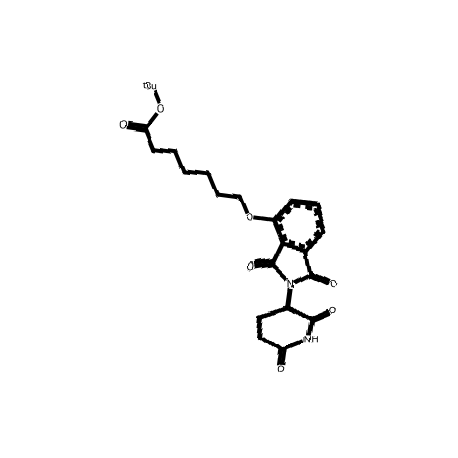 CC(C)(C)OC(=O)CCCCCCOc1cccc2c1C(=O)N(C1CCC(=O)NC1=O)C2=O